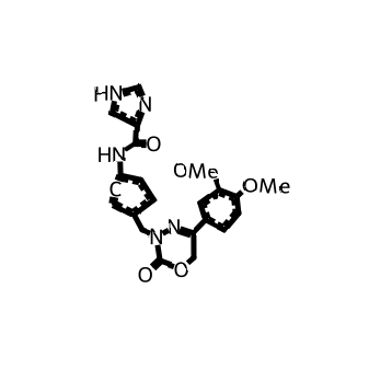 COc1ccc(C2=NN(Cc3ccc(NC(=O)c4c[nH]cn4)cc3)C(=O)OC2)cc1OC